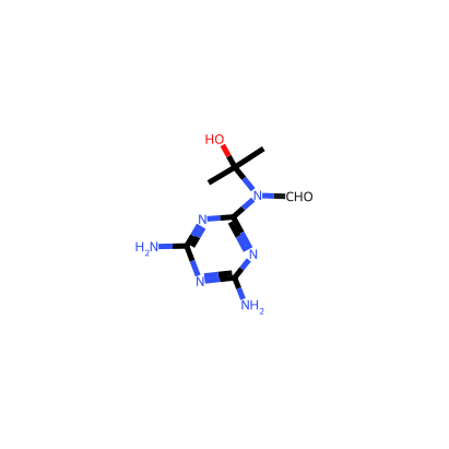 CC(C)(O)N(C=O)c1nc(N)nc(N)n1